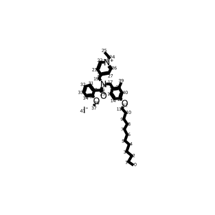 CCCCCCCCCCCCOc1ccc(CN(Cc2cc[n+](CC)cc2)C(=O)c2ccccc2OC)c(C)c1.[I-]